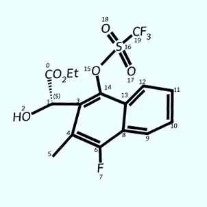 CCOC(=O)[C@@H](O)c1c(C)c(F)c2ccccc2c1OS(=O)(=O)C(F)(F)F